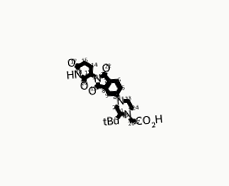 CC(C)(C)C1CN(c2ccc3c(c2)C(=O)N(C2CCC(=O)NC2=O)C3=O)CCN1CC(=O)O